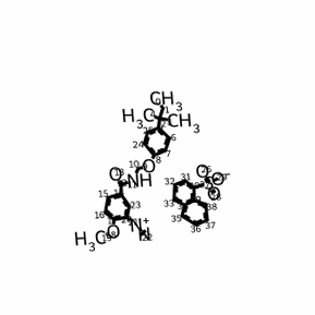 CCC(C)(C)c1ccc(OCNC(=O)c2ccc(OC)c([N+]#N)c2)cc1.O=S(=O)([O-])c1cccc2ccccc12